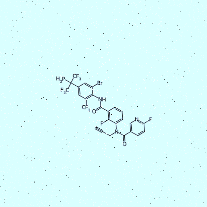 C#CCN(C(=O)c1ccc(F)nc1)c1cccc(C(=O)Nc2c(Br)cc(C(P)(C(F)(F)F)C(F)(F)F)cc2C(F)(F)F)c1F